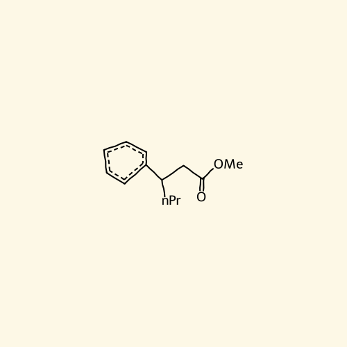 CCCC(CC(=O)OC)c1ccccc1